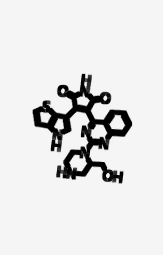 O=C1NC(=O)C(c2c[nH]c3ccsc23)=C1c1nc(N2CCNCC2CO)nc2ccccc12